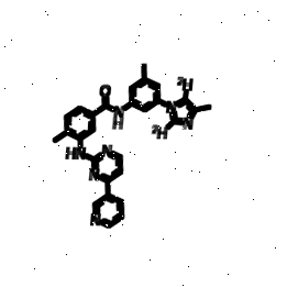 [2H]c1nc(C)c([2H])n1-c1cc(C)cc(NC(=O)c2ccc(C)c(Nc3nccc(-c4cccnc4)n3)c2)c1